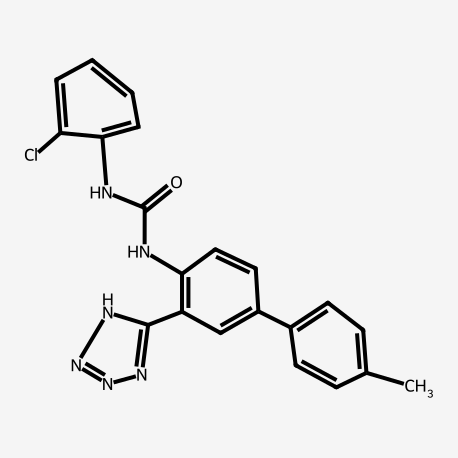 Cc1ccc(-c2ccc(NC(=O)Nc3ccccc3Cl)c(-c3nnn[nH]3)c2)cc1